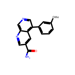 COc1cccc(-c2cncc3ncc(C(N)=O)cc23)c1